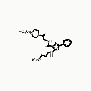 COCCCNc1sc(-c2ccccc2)nc1C(=O)NCC(=O)N1CCN(C(=O)O)CC1